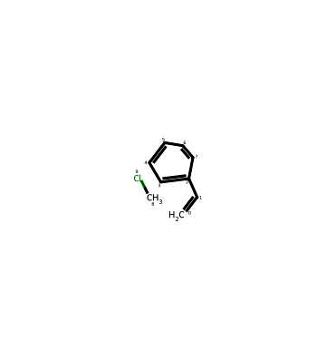 C=Cc1ccccc1.CCl